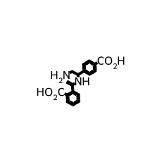 C=C(NC(CN)c1ccc(C(=O)O)cc1)c1ccccc1C(=O)O